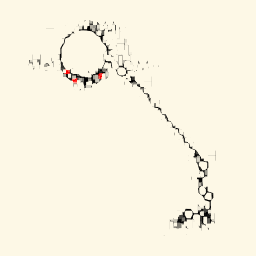 CO[C@H]1C[C@@H]2CC[C@@H](C)[C@@](O)(O2)C(=O)C(=O)N2CCCC[C@H]2C(=O)O[C@H]([C@H](N)C[C@@H]2CC[C@@H](OC(=O)NCCOCCOCCOCCOCCOCCOCCC(=O)NC3CCN(CC(=O)N4CCc5cc(Cn6nc(-c7ccc8oc(N)nc8c7)c7c(N)ncnc76)ccc5C4)CC3)[C@H](OC)C2)C[C@@H](O)[C@H](C)/C=C(\C)[C@@H](O)[C@@H](OC)C(=O)[C@H](C)C[C@H](C)/C=C/C=C/C=C/1C